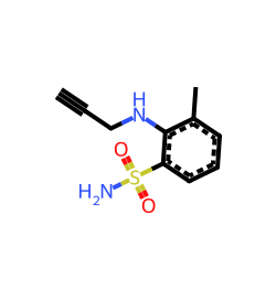 C#CCNc1c(C)cccc1S(N)(=O)=O